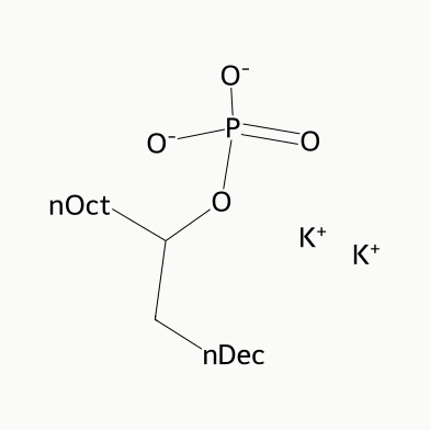 CCCCCCCCCCCC(CCCCCCCC)OP(=O)([O-])[O-].[K+].[K+]